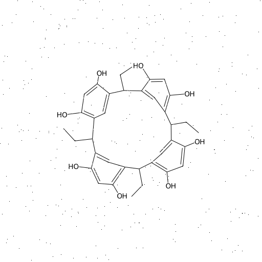 CCC1c2cc(c(O)cc2O)C(CC)c2cc(c(O)cc2O)C(CC)c2cc(c(O)cc2O)C(CC)c2cc1c(O)cc2O